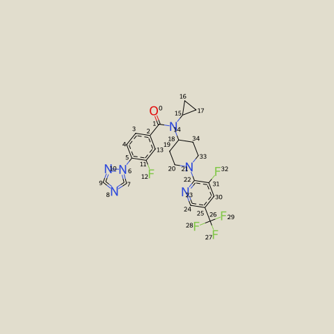 O=C(c1ccc(-n2cncn2)c(F)c1)N(C1CC1)C1CCN(c2ncc(C(F)(F)F)cc2F)CC1